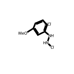 COc1cccc(NNCl)c1.Cl